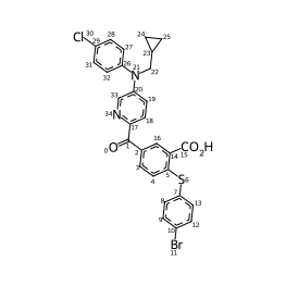 O=C(c1ccc(Sc2ccc(Br)cc2)c(C(=O)O)c1)c1ccc(N(CC2CC2)c2ccc(Cl)cc2)cn1